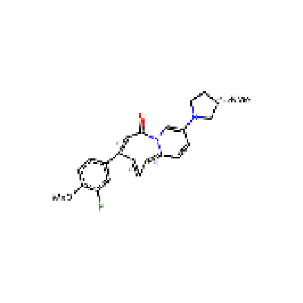 CN[C@H]1CCN(C2=CN3C(=O)\C=C(c4ccc(OC)c(F)c4)/C=C/C=C/3C=C2)C1